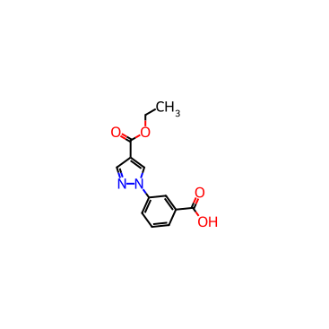 CCOC(=O)c1cnn(-c2cccc(C(=O)O)c2)c1